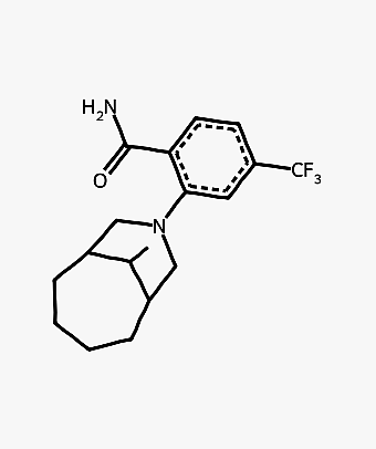 CC1C2CCCCC1CN(c1cc(C(F)(F)F)ccc1C(N)=O)C2